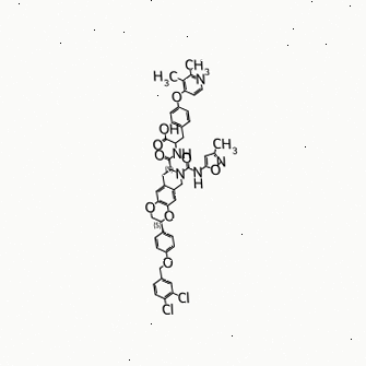 Cc1cc(NC(=O)N2Cc3cc4c(cc3C[C@H]2C(=O)NC(Cc2ccc(Oc3ccnc(C)c3C)cc2)C(=O)O)OC[C@H](c2ccc(OCc3ccc(Cl)c(Cl)c3)cc2)O4)on1